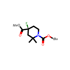 COC(=O)[C@]1(F)CCN(C(=O)OC(C)(C)C)C(C)(C)C1